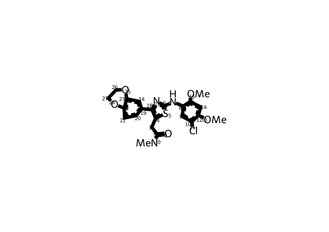 CNC(=O)Cc1sc(Nc2cc(Cl)c(OC)cc2OC)nc1-c1ccc2c(c1)OCCO2